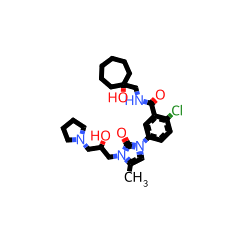 Cc1cn(-c2ccc(Cl)c(C(=O)NCC3(O)CCCCCC3)c2)c(=O)n1CC(O)CN1CCCC1